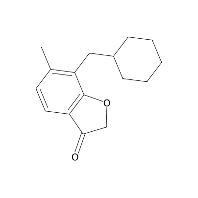 Cc1ccc2c(c1CC1CCCCC1)OCC2=O